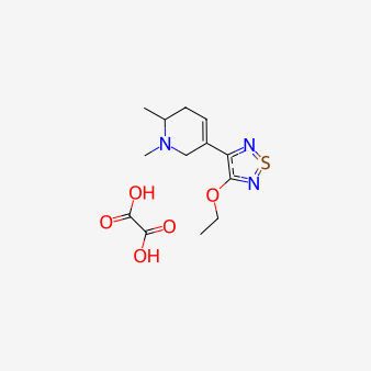 CCOc1nsnc1C1=CCC(C)N(C)C1.O=C(O)C(=O)O